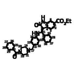 CCOC(=O)c1ccc2c(c1)NC(=O)/C2=C(\Nc1ccc(CN2CCN(C(=O)c3ccccc3)CC2)cc1)c1ccccc1